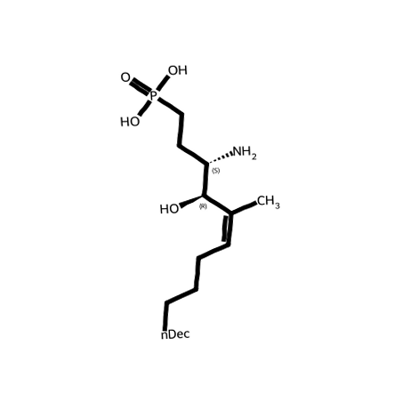 CCCCCCCCCCCCCC=C(C)[C@@H](O)[C@@H](N)CCP(=O)(O)O